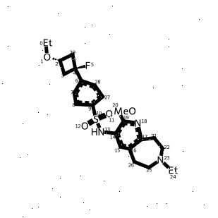 CCO[C@H]1C[C@@](F)(c2ccc(S(=O)(=O)Nc3cc4c(nc3OC)CCN(CC)CC4)cc2)C1